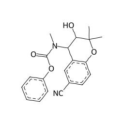 CN(C(=O)Oc1ccccc1)C1c2cc(C#N)ccc2OC(C)(C)C1O